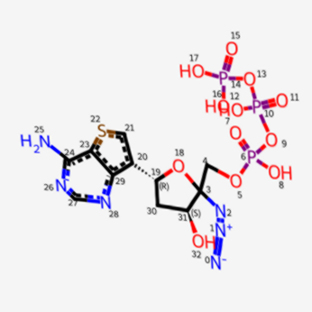 [N-]=[N+]=NC1(COP(=O)(O)OP(=O)(O)OP(=O)(O)O)O[C@@H](c2csc3c(N)ncnc23)C[C@@H]1O